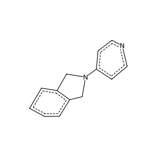 c1ccc2c(c1)CN(c1ccncc1)C2